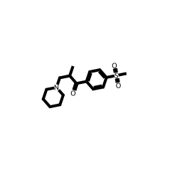 CC(CN1CCCCC1)C(=O)c1ccc(S(C)(=O)=O)cc1